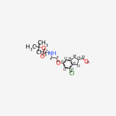 CC(C)(C)OC(=O)NCCOc1cc(Cl)c2c(c1)CC(C=O)C2